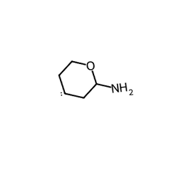 NC1C[C]CCO1